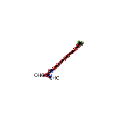 NC(COCCC=O)(COCCC=O)COCCC(=O)NCCOCCOCCOCCOCCOCCOCCOCCOCCOCCOCCOCCOCCC(=O)Oc1c(F)c(F)cc(F)c1F